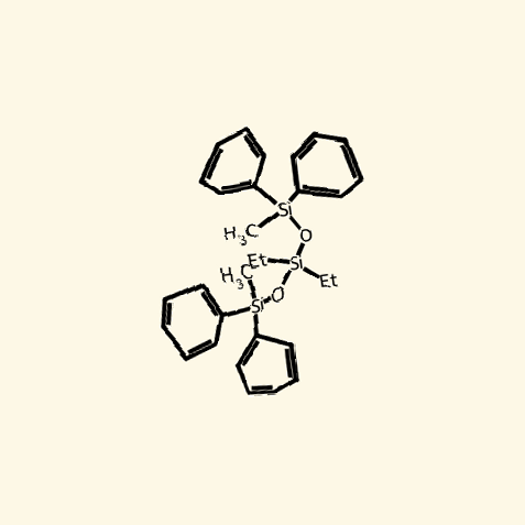 CC[Si](CC)(O[Si](C)(c1ccccc1)c1ccccc1)O[Si](C)(c1ccccc1)c1ccccc1